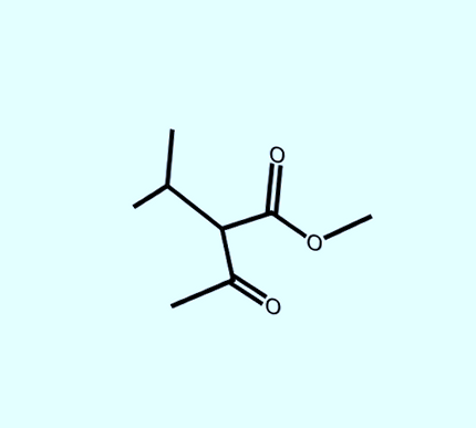 COC(=O)C(C(C)=O)C(C)C